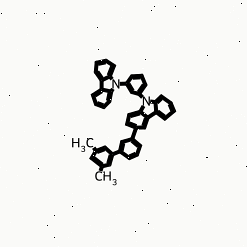 Cc1cc(C)cc(-c2cccc(-c3ccc4c(c3)c3ccccc3n4-c3cccc(-n4c5ccccc5c5ccccc54)c3)c2)c1